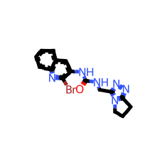 O=C(NCc1nnc2n1CCC2)Nc1cc2ccccc2nc1Br